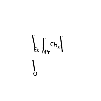 C[O].[CH2]C.[CH2]CC.[CH2]CCC.[CH3]